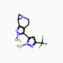 Cn1nc(C(F)(F)F)cc1-c1c2c(nn1C)C1CN1CC2